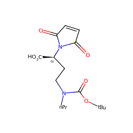 CCCN(CC[C@@H](C(=O)O)N1C(=O)C=CC1=O)C(=O)OC(C)(C)C